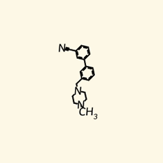 CN1CCN(Cc2cccc(-c3cccc(C#N)c3)c2)CC1